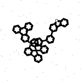 c1cc(-c2ccc(N(c3ccc4c5ccccc5c5ccccc5c4c3)c3cccc4c3C3(c5ccccc5-c5ccccc53)c3ccccc3-4)cc2)cc(-c2ccc3oc4ccccc4c3c2)c1